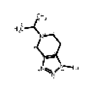 CC(C)N1CCc2c(nnn2I)C1